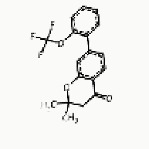 CC1(C)CC(=O)c2ccc(-c3ccccc3OC(F)(F)F)cc2O1